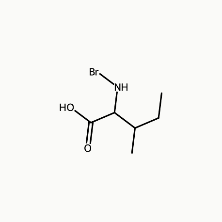 CCC(C)C(NBr)C(=O)O